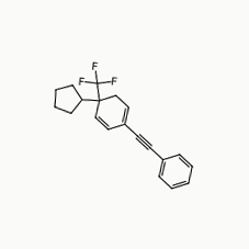 FC(F)(F)C1(C2CCCC2)C=CC(C#Cc2ccccc2)=CC1